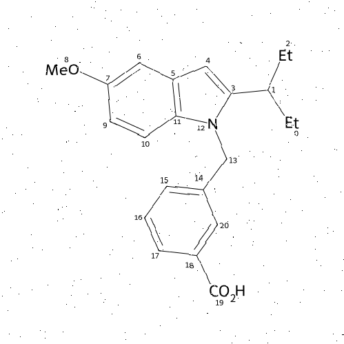 CCC(CC)c1cc2cc(OC)ccc2n1Cc1cccc(C(=O)O)c1